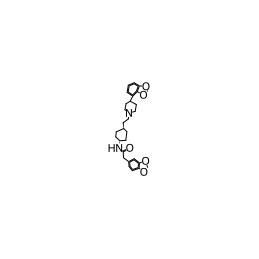 O=C(Cc1ccc2c(c1)OCO2)N[C@H]1CC[C@H](CCN2CCC(c3cccc4c3OCO4)CC2)CC1